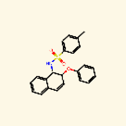 Cc1ccc(S(=O)(=O)N[C@@H]2c3ccccc3C=C[C@@H]2Oc2ccccc2)cc1